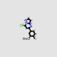 COc1cc(-c2cc(Cl)n3nccc3n2)ccc1C